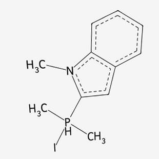 Cn1c([PH](C)(C)I)cc2ccccc21